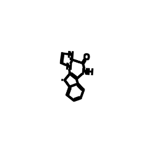 O=c1[nH]c2c(n3ccnc13)[CH]c1ccccc1-2